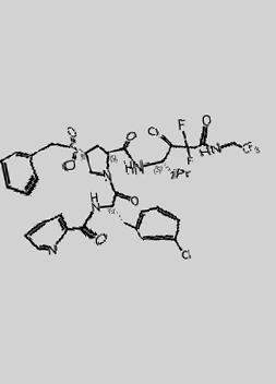 CC(C)[C@H](NC(=O)[C@@H]1C[C@@H](S(=O)(=O)Cc2ccccc2)CN1C(=O)[C@H](Cc1cccc(Cl)c1)NC(=O)c1ccccn1)C(=O)C(F)(F)C(=O)NCC(F)(F)F